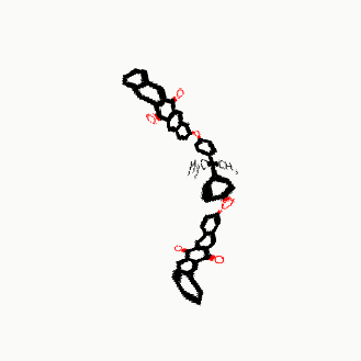 CC(C)(c1ccc(Oc2ccc3cc4c(cc3c2)C(=O)c2cc3ccccc3cc2C4=O)cc1)c1ccc(Oc2ccc3cc4c(cc3c2)C(=O)c2cc3ccccc3cc2C4=O)cc1